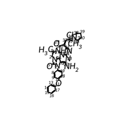 C[C@@H](Cn1c(=O)n(-c2ccc(Oc3ccccc3)cc2)c2c(N)ncnc21)NC(=O)C(C#N)=CC(C)(C)N1CCCC1